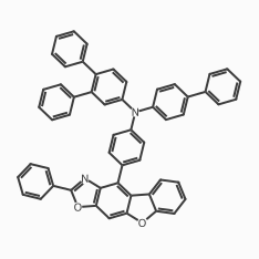 c1ccc(-c2ccc(N(c3ccc(-c4c5nc(-c6ccccc6)oc5cc5oc6ccccc6c45)cc3)c3ccc(-c4ccccc4)c(-c4ccccc4)c3)cc2)cc1